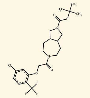 CC(C)(C)OC(=O)N1CC2CCN(C(=O)COc3cc(Cl)ccc3C(F)(F)F)CCC2C1